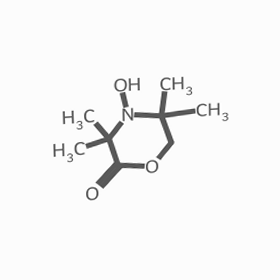 CC1(C)COC(=O)C(C)(C)N1O